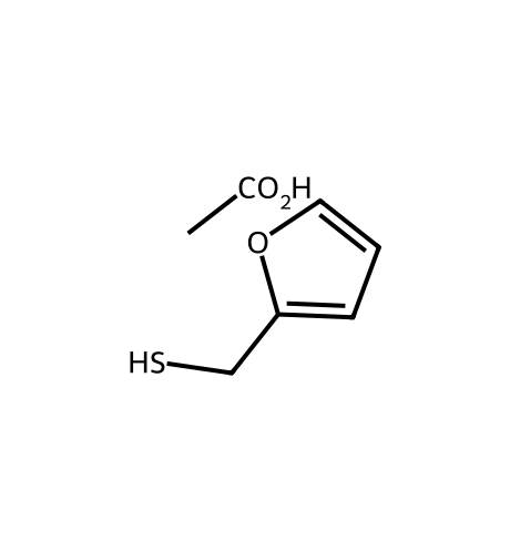 CC(=O)O.SCc1ccco1